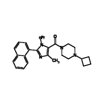 CCCn1c(-c2cccc3ccccc23)nc(C)c1C(=O)N1CCN(C2CCC2)CC1